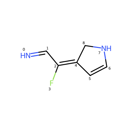 N=C/C(F)=C1/C=CNC1